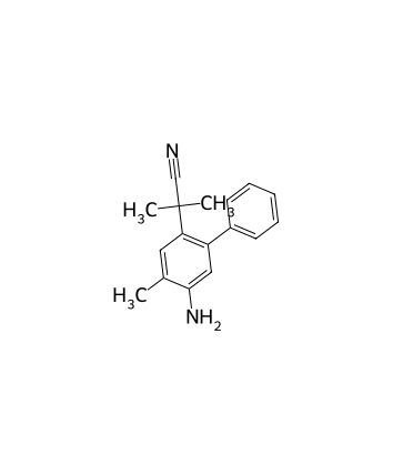 Cc1cc(C(C)(C)C#N)c(-c2ccccc2)cc1N